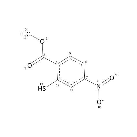 COC(=O)c1ccc([N+](=O)[O-])cc1S